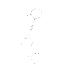 Fc1cccc(C#CC2=NCN3CC4CSCCN4C3=C2)c1F